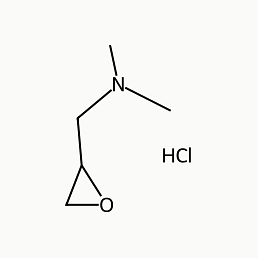 CN(C)CC1CO1.Cl